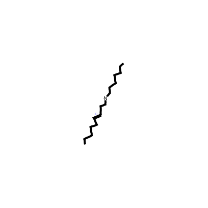 CCCCC/C=C/CC[N]CCCCCCC